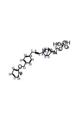 NC(/C=C\C(C#CCc1ccc(COc2ccccn2)cc1)=C/I)=N\COP(=O)(O)O